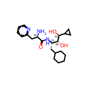 N[C@H](Cc1ccccn1)C(=O)N[C@@H](CC1CCCCC1)[C@@H](O)[C@@H](O)C1CC1